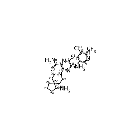 NC(=O)c1nc(Sc2ccnc(C(F)(F)F)c2Cl)c(N)nc1N1CCC2(CCCC2)[C@@H](N)C1